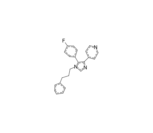 Fc1ccc(-c2c(-c3ccncc3)ncn2CCCc2ccccc2)cc1